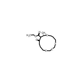 CCOC(=O)C1C(=O)CCCCCCCCCCCC[C@H]1C